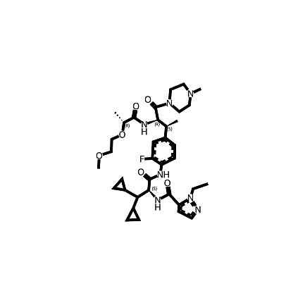 CCn1nccc1C(=O)N[C@H](C(=O)Nc1ccc([C@H](C)[C@@H](NC(=O)[C@@H](C)OCCOC)C(=O)N2CCN(C)CC2)cc1F)C(C1CC1)C1CC1